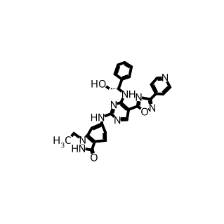 CCn1[nH]c(=O)c2ccc(Nc3ncc(-c4nc(-c5ccncc5)no4)c(N[C@H](CO)c4ccccc4)n3)cc21